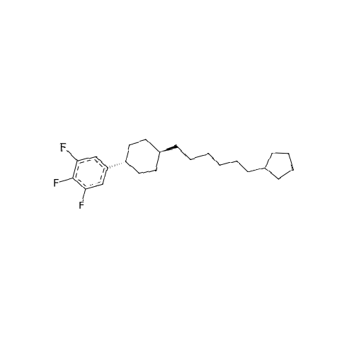 Fc1cc([C@H]2CC[C@H](CCCCCCC3CCCC3)CC2)cc(F)c1F